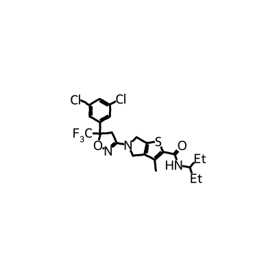 CCC(CC)NC(=O)c1sc2c(c1C)CN(C1=NOC(c3cc(Cl)cc(Cl)c3)(C(F)(F)F)C1)C2